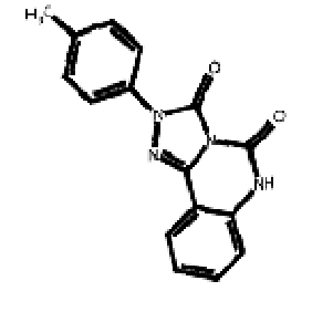 Cc1ccc(-n2nc3c4ccccc4[nH]c(=O)n3c2=O)cc1